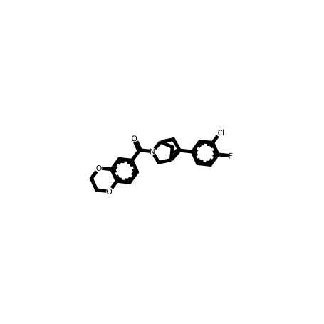 O=C(c1ccc2c(c1)OCCO2)N1CC2=C(c3ccc(F)c(Cl)c3)CC1C2